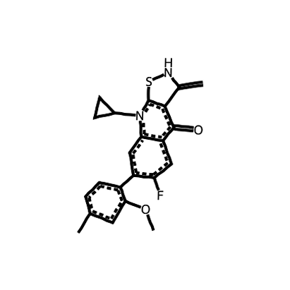 C=C1NSc2c1c(=O)c1cc(F)c(-c3ccc(C)cc3OC)cc1n2C1CC1